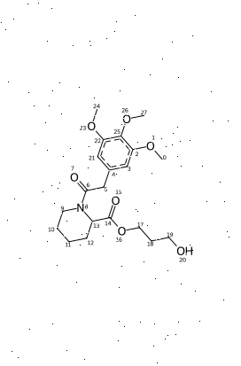 COc1cc(CC(=O)N2CCCCC2C(=O)OCCCO)cc(OC)c1OC